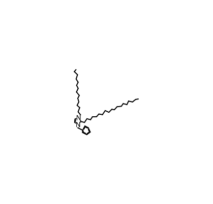 CCCCCCCCCCCCCCCCCCCC1N(CCCCCCCCCCCCCCC)C=CN1Cc1ccccc1